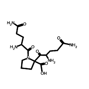 NC(=O)CCC(N)C(=O)N1CCCC1(C(=O)O)C(=O)C(N)CCC(N)=O